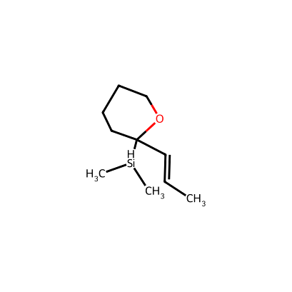 CC=CC1([SiH](C)C)CCCCO1